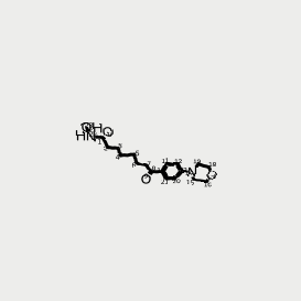 O=C(CCCCCCC(=O)c1ccc(N2CCOCC2)cc1)NO